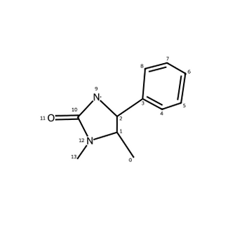 CC1C(c2ccccc2)[N]C(=O)N1C